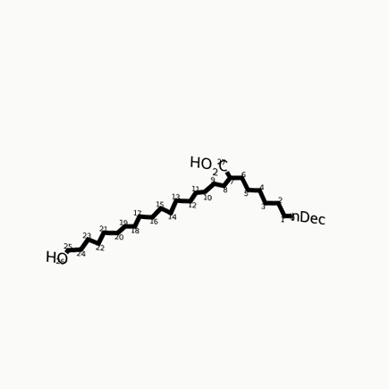 CCCCCCCCCCCCCCCCC(CCCCCCCCCCCCCCCCCCO)C(=O)O